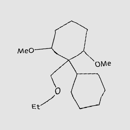 CCOCC1(C2CCCCC2)C(OC)CCCC1OC